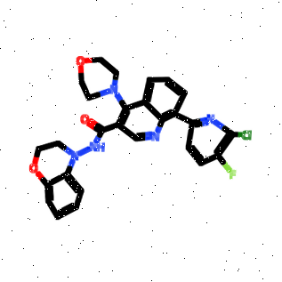 O=C(NN1CCOc2ccccc21)c1cnc2c(-c3ccc(F)c(Cl)n3)cccc2c1N1CCOCC1